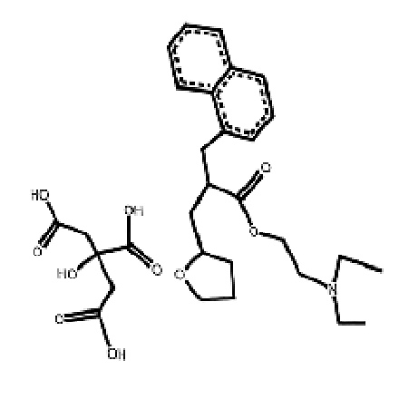 CCN(CC)CCOC(=O)C(Cc1cccc2ccccc12)CC1CCCO1.O=C(O)CC(O)(CC(=O)O)C(=O)O